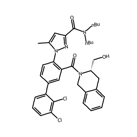 CCCCN(CCCC)C(=O)c1cc(C)n(-c2ccc(-c3cccc(Cl)c3Cl)cc2C(=O)N2Cc3ccccc3C[C@H]2CO)n1